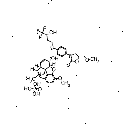 COC[C@H]1CN(c2ccc(OCC[C@@H](O)C(F)(F)F)cc2)C(=O)O1.COc1ccc2c3c1O[C@H]1[C@@H](O)C=C[C@H]4[C@@H](C2)N(C)CC[C@@]341.O=P(O)(O)O